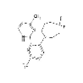 CC1=NC(c2nc(C(F)(F)F)ccc2N2CCCC(F)(F)CC2)NC=C1